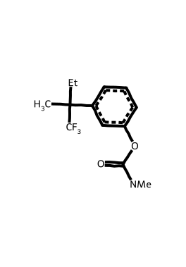 CCC(C)(c1cccc(OC(=O)NC)c1)C(F)(F)F